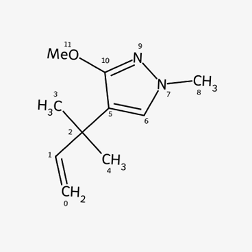 C=CC(C)(C)c1cn(C)nc1OC